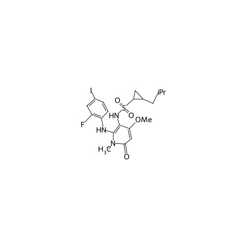 COc1cc(=O)n(C)c(Nc2ccc(I)cc2F)c1NS(=O)(=O)C1CC1CC(C)C